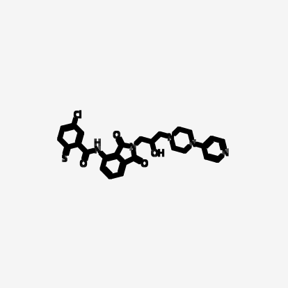 O=C(Nc1cccc2c1C(=O)N(CC(O)CN1CCN(c3ccncc3)CC1)C2=O)C1=CC(Cl)=CCC1=S